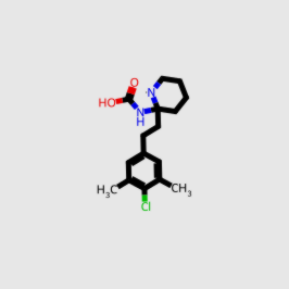 Cc1cc(CCC2(NC(=O)O)CCCC[N]2)cc(C)c1Cl